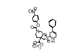 COC(=O)C1(CS(=O)(=O)C2CC(c3ccccc3)=CCN2)CCN(C(=O)Oc2ccc([N+](=O)[O-])cc2)CC1